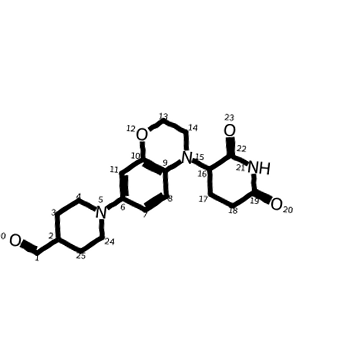 O=CC1CCN(c2ccc3c(c2)OCCN3C2CCC(=O)NC2=O)CC1